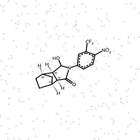 O=C1[C@H]2[C@H]3CC[C@H](C3)[C@H]2C(O)N1c1ccc([N+](=O)[O-])c(C(F)(F)F)c1